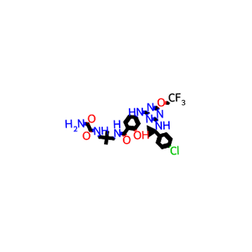 CC(C)(CNC(=O)C(N)=O)CNC(=O)c1ccc(Nc2nc(NC3(c4ccc(Cl)cc4)CC3)nc(OCC(F)(F)F)n2)cc1O